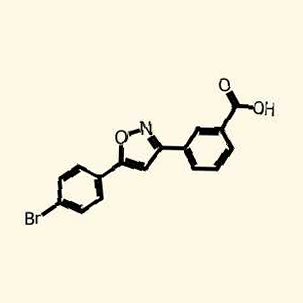 O=C(O)c1cccc(-c2cc(-c3ccc(Br)cc3)on2)c1